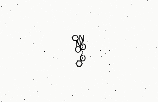 O=C(CCOc1ccccc1)Oc1cnc2ccccc2n1